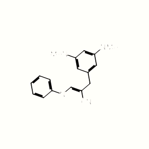 CNc1cc(CC(C#N)=CNc2ccccc2)cc(NC)c1